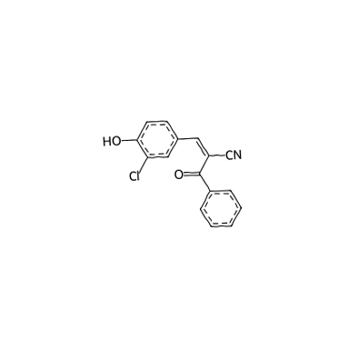 N#CC(=Cc1ccc(O)c(Cl)c1)C(=O)c1ccccc1